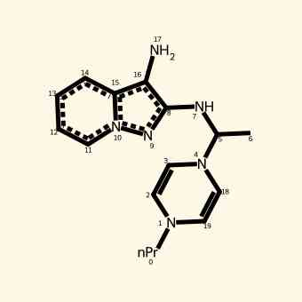 CCCN1C=CN(C(C)Nc2nn3ccccc3c2N)C=C1